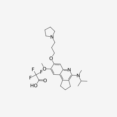 COc1cc2c3c(c(N(C)C(C)C)nc2cc1OCCCN1CCCC1)CCC3.O=C(O)C(F)(F)F